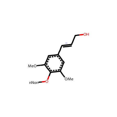 CCCCCCCCCOc1c(OC)cc(/C=C/CO)cc1OC